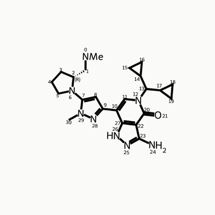 CNC[C@H]1CCCN1c1cc(-c2cn(C(C3CC3)C3CC3)c(=O)c3c(N)n[nH]c23)nn1C